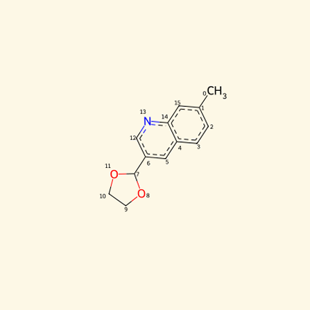 Cc1ccc2cc(C3OCCO3)cnc2c1